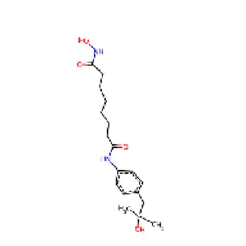 C[Si](C)(O)Cc1ccc(NC(=O)CCCCCCC(=O)NO)cc1